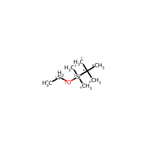 C[SiH2]O[Si](C)(C)C(C)(C)C